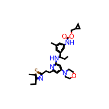 CCc1nc(CCc2cc(N3CCOCC3)cc(NC(CC)c3cc(C)cc(NC(=O)OCC4CC4)c3)n2)sc1C